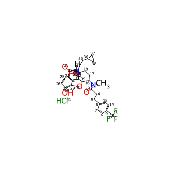 CN(C(=O)CCc1ccc(C(F)(F)F)cc1)C1CC[C@@]2(O)[C@H]3C(=O)c4ccc(O)c5c4[C@@]2(CCN3CC2CC2)C1O5.Cl